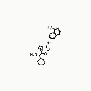 Cc1nccc2cc(CNC(=O)[C@@H]3CCN3C(=O)[C@H](N)C3CCCCC3)ccc12